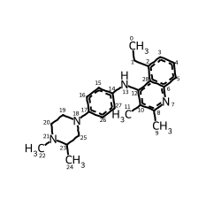 CCc1cccc2nc(C)c(C)c(Nc3ccc(N4CCN(C)C(C)C4)cc3)c12